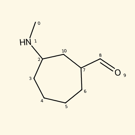 CNC1CCCCC(C=O)C1